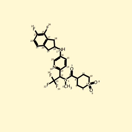 CN(C(=O)C1CCS(=O)(=O)CC1)C(c1ccc(NC2Cc3ccc(F)c(F)c3C2)cn1)C(F)(F)F